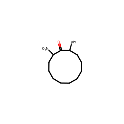 CCCC1CCCCCCCCCC([N+](=O)[O-])C1=O